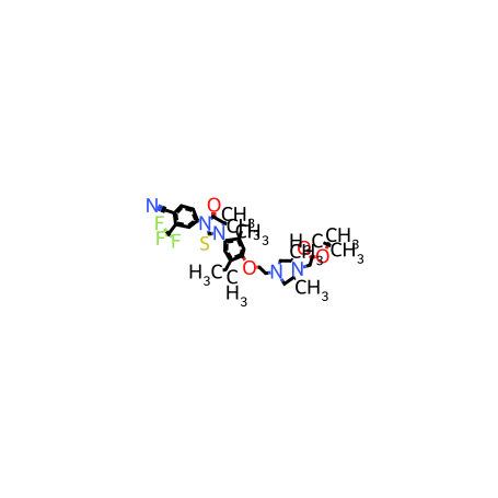 Cc1cc(OCCN2C[C@@H](C)N(CC(=O)OC(C)(C)C)[C@@H](C)C2)c(C(C)C)cc1N1C(=S)N(c2ccc(C#N)c(C(F)(F)F)c2)C(=O)C1(C)C